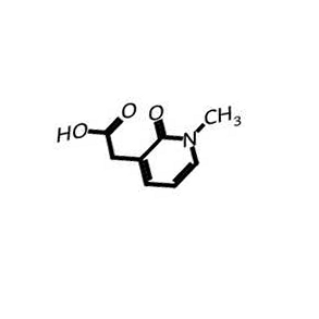 Cn1cccc(CC(=O)O)c1=O